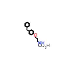 O=C(O)NCCCOc1ccc(Cc2ccccc2)cc1